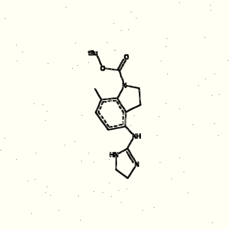 Cc1ccc(NC2=NCCN2)c2c1N(C(=O)OC(C)(C)C)CC2